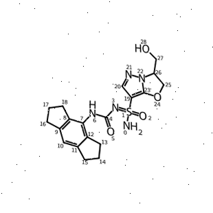 NS(=O)(=NC(=O)Nc1c2c(cc3c1CCC3)CCC2)c1cnn2c1OCC2CO